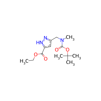 CCOC(=O)c1cc(CN(C)C(=O)OC(C)(C)C)n[nH]1